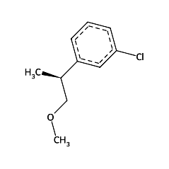 COC[C@@H](C)c1cccc(Cl)c1